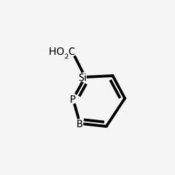 O=C(O)[si]1cccbp1